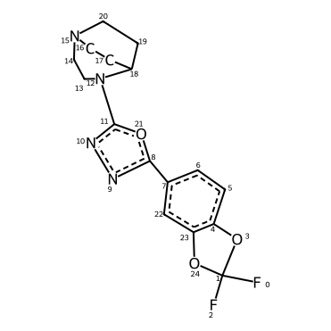 FC1(F)Oc2ccc(-c3nnc(N4CCN5CCC4CC5)o3)cc2O1